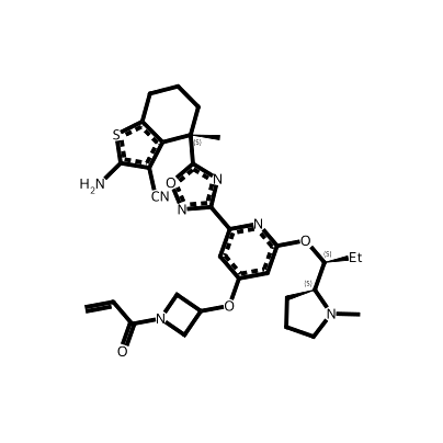 C=CC(=O)N1CC(Oc2cc(O[C@@H](CC)[C@@H]3CCCN3C)nc(-c3noc([C@@]4(C)CCCc5sc(N)c(C#N)c54)n3)c2)C1